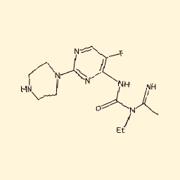 CCN(C(C)=N)C(=O)Nc1nc(N2CCNCC2)ncc1F